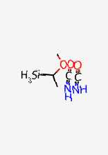 COC(C)[SiH3].N=C=O.N=C=O